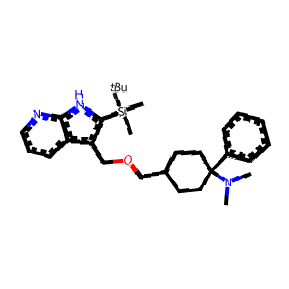 CN(C)C1(c2ccccc2)CCC(COCc2c([Si](C)(C)C(C)(C)C)[nH]c3ncccc23)CC1